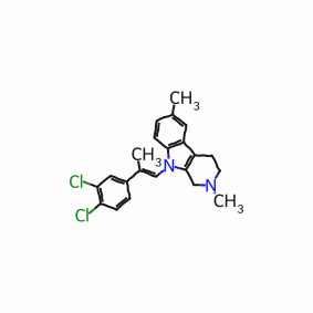 CC(=Cn1c2c(c3cc(C)ccc31)CCN(C)C2)c1ccc(Cl)c(Cl)c1